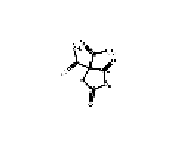 CC(=S)C1(C(C)=S)CC(=O)OC1=O